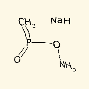 C=P(=O)ON.[NaH]